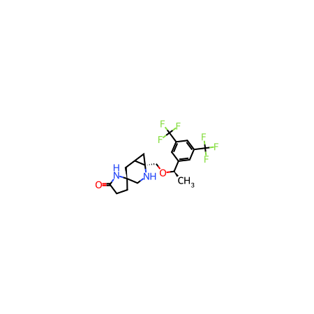 C[C@@H](OC[C@@]12CC1C[C@]1(CCC(=O)N1)CN2)c1cc(C(F)(F)F)cc(C(F)(F)F)c1